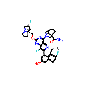 CCc1c(F)ccc2cc(O)cc(-c3ncc4c(N5CC6CCC(C(N)=O)(C6)C5)nc(OC[C@@]56CCCN5C[C@H](F)C6)nc4c3F)c12